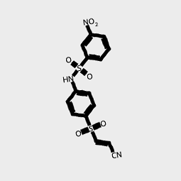 N#CC=CS(=O)(=O)c1ccc(NS(=O)(=O)c2cccc([N+](=O)[O-])c2)cc1